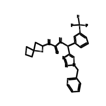 O=C(NC1CC2(CCC2)C1)NC(c1cccc(C(F)(F)F)c1)c1cn(Cc2ccccc2)nn1